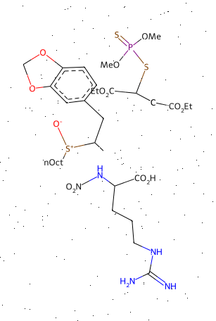 CCCCCCCC[S+]([O-])C(C)Cc1ccc2c(c1)OCO2.CCOC(=O)CC(SP(=S)(OC)OC)C(=O)OCC.N=C(N)NCCCC(N[N+](=O)[O-])C(=O)O